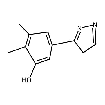 Cc1cc(C2=NN=CC2)cc(O)c1C